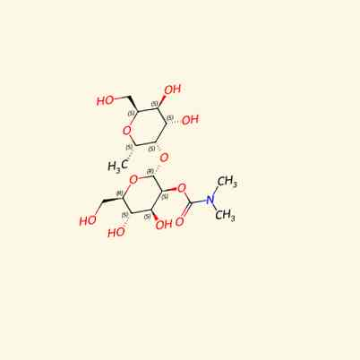 C[C@@H]1O[C@@H](CO)[C@@H](O)[C@H](O)[C@@H]1O[C@H]1O[C@H](CO)[C@@H](O)[C@H](O)[C@@H]1OC(=O)N(C)C